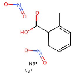 Cc1ccccc1C(=O)O.O=N[O-].O=N[O-].[Na+].[Na+]